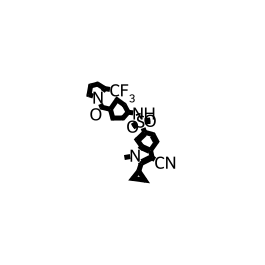 Cn1c(C2CC2)c(C#N)c2ccc(S(=O)(=O)NC3CCC(C(=O)N4CCCC4C(F)(F)F)CC3)cc21